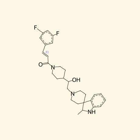 CC1Nc2ccccc2C12CCN(CC(O)C1CCN(C(=O)/C=C/c3cc(F)cc(F)c3)CC1)CC2